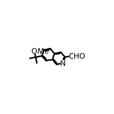 COC(C)(C)c1ccc2cc(C=O)ncc2c1